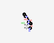 CC1CC(Oc2ccc3c(c2)N(C)CCN(CC(O)CN2CCc4ccccc4C2)C3=O)CCN1.Cl